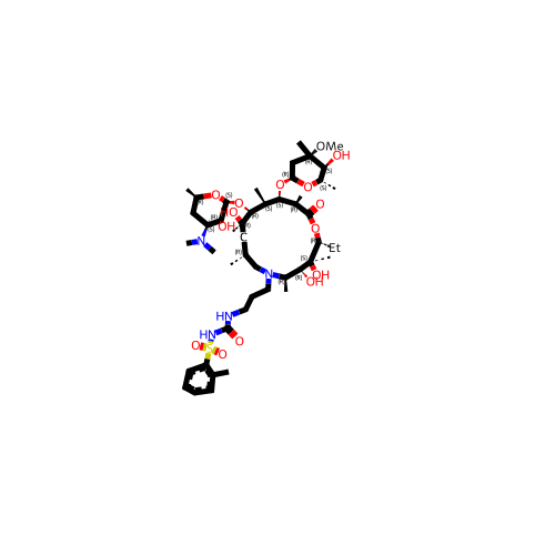 CC[C@H]1OC(=O)[C@H](C)[C@@H](O[C@H]2C[C@@](C)(OC)[C@@H](O)[C@H](C)O2)[C@H](C)[C@@H](O[C@@H]2O[C@H](C)C[C@H](N(C)C)[C@H]2O)[C@](C)(O)C[C@@H](C)CN(CCCNC(=O)NS(=O)(=O)c2ccccc2C)[C@H](C)[C@@H](O)[C@]1(C)O